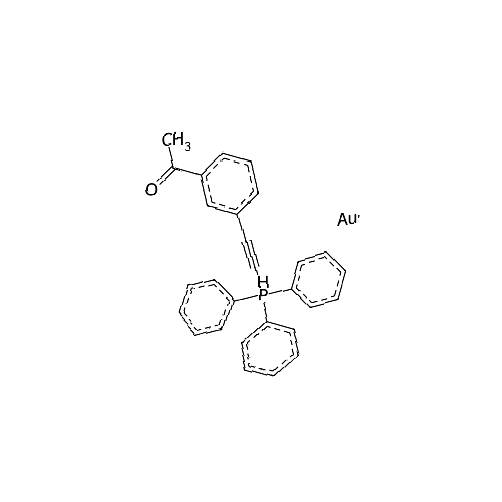 CC(=O)c1cccc(C#C[PH](c2ccccc2)(c2ccccc2)c2ccccc2)c1.[Au]